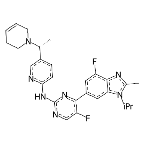 Cc1nc2c(F)cc(-c3nc(Nc4ccc([C@@H](C)N5CC=CCC5)cn4)ncc3F)cc2n1C(C)C